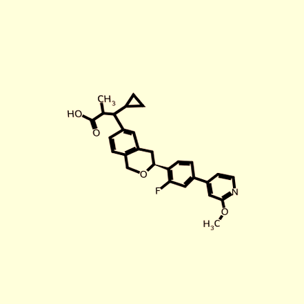 COc1cc(-c2ccc([C@@H]3Cc4cc(C(C5CC5)C(C)C(=O)O)ccc4CO3)c(F)c2)ccn1